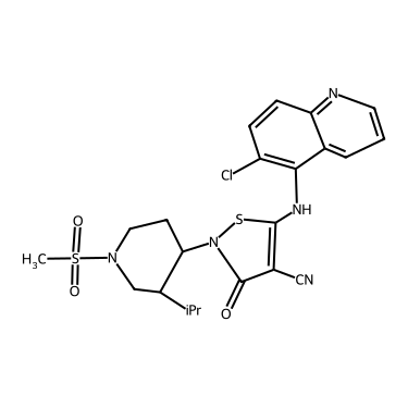 CC(C)C1CN(S(C)(=O)=O)CCC1n1sc(Nc2c(Cl)ccc3ncccc23)c(C#N)c1=O